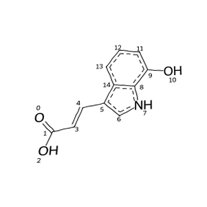 O=C(O)C=Cc1c[nH]c2c(O)cccc12